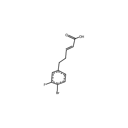 O=C(O)/C=C/CCc1ccc(Br)c(F)c1